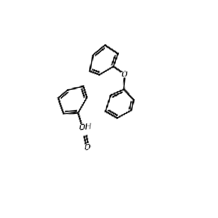 C=O.Oc1ccccc1.c1ccc(Oc2ccccc2)cc1